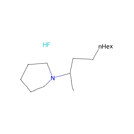 CCCCCCCCC(C)N1CCCCC1.F